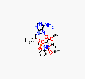 CC(C)OC(=O)C(C)OP(=O)(COC(C)Cn1cnc2c(N)ncnc21)NC1(C(=O)OC(C)C)CCCCC1